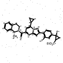 CCOC(=O)C1CC1(F)c1ccc(-c2cc3nc(C(=O)N4CCc5ccccc5[C@H]4C)cc(C4CC4)n3n2)c(F)c1